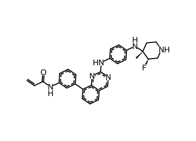 C=CC(=O)Nc1cccc(-c2cccc3cnc(Nc4ccc(N[C@]5(C)CCNC[C@H]5F)cc4)nc23)c1